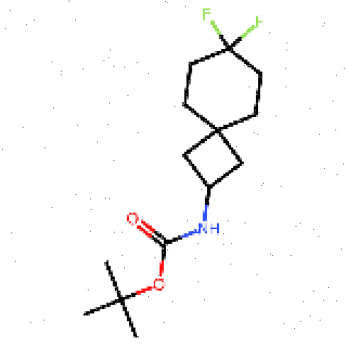 CC(C)(C)OC(=O)NC1CC2(CCC(F)(F)CC2)C1